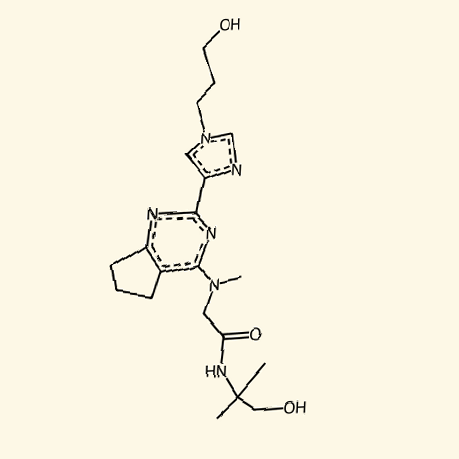 CN(CC(=O)NC(C)(C)CO)c1nc(-c2cn(CCCO)cn2)nc2c1CCC2